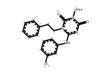 CCCCCCn1c(=O)nc(Nc2cccc(C(F)(F)F)c2)n(CCc2ccccc2)c1=O